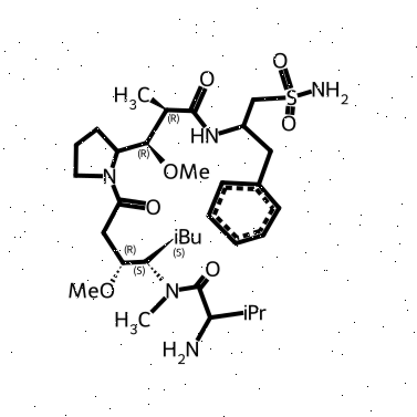 CC[C@H](C)[C@@H]([C@@H](CC(=O)N1CCCC1[C@H](OC)[C@@H](C)C(=O)NC(Cc1ccccc1)CS(N)(=O)=O)OC)N(C)C(=O)C(N)C(C)C